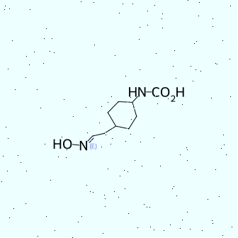 O=C(O)NC1CCC(C/C=N/O)CC1